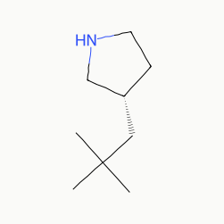 CC(C)(C)C[C@H]1CCNC1